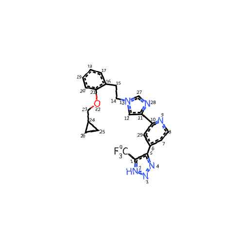 FC(F)(F)c1[nH]nnc1-c1ccnc(-c2cn(CCc3ccccc3OCC3CC3)cn2)c1